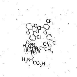 CP(=O)(O)CCC(N)C(=O)O.CS(=O)(=O)c1ccc(C(=O)C2C(=O)CCCC2=O)c(Cl)c1.C[C@H](OC(=O)c1cc(Oc2ccc(C(F)(F)F)cc2Cl)ccc1Cl)C(=O)O